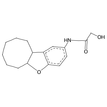 O=C(CO)Nc1ccc2c(c1)C1CCCCCCC1O2